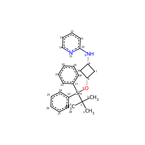 CC(C)(C)[Si](O[C@H]1C[C@@H](Nc2ccccn2)C1)(c1ccccc1)c1ccccc1